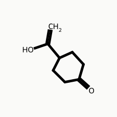 C=C(O)C1CCC(=O)CC1